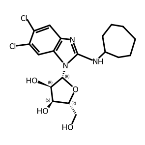 OC[C@H]1O[C@@H](n2c(NC3CCCCCC3)nc3cc(Cl)c(Cl)cc32)[C@H](O)[C@@H]1O